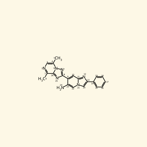 Cc1ncc(C)n2nc(-c3cc4nc(-c5ccccc5)cn4cc3N)nc12